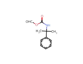 CC(C)(NC(=O)OC=O)c1ccccc1